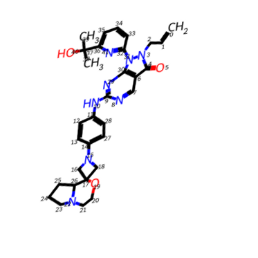 C=CCn1c(=O)c2cnc(Nc3ccc(N4CC5(C4)OCCN4CCCC45)cc3)nc2n1-c1cccc(C(C)(C)O)n1